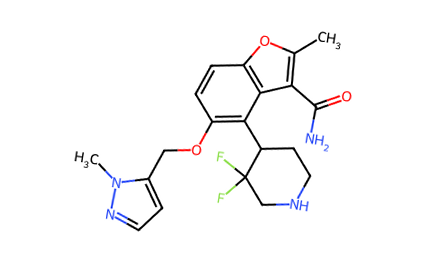 Cc1oc2ccc(OCc3ccnn3C)c(C3CCNCC3(F)F)c2c1C(N)=O